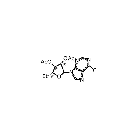 CC[C@H]1OC(n2cnc3c(Cl)ncnc32)[C@H](OC(C)=O)[C@@H]1OC(C)=O